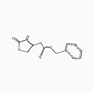 O=C(CC1COC(=O)N1)OCc1ccccc1